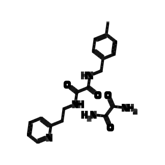 Cc1ccc(CNC(=O)C(=O)NCCc2ccccn2)cc1.NC(=O)C(N)=O